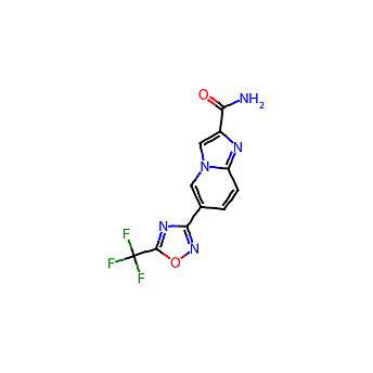 NC(=O)c1cn2cc(-c3noc(C(F)(F)F)n3)ccc2n1